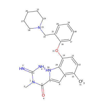 CN(C(=N)N)C(=O)c1cc2c(C(F)(F)F)ccc(Oc3ccccc3CN3CCCCC3)c2[nH]1